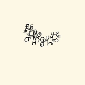 O=C(COC(=O)c1ccc2ccccc2c1)Nc1ncc(C(F)(F)F)cc1Cl